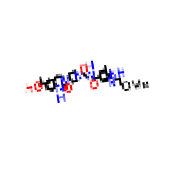 COCCc1nc2cc(C(=O)NCC(=O)N3CCC(N4CCc5cc(C(C)O)ccc5NC4=O)CC3)cc(C)c2[nH]1